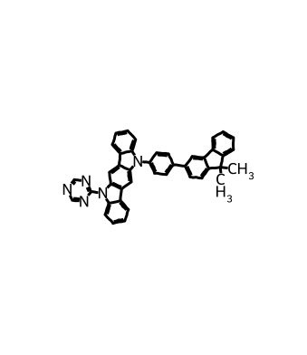 CC1(C)c2ccccc2-c2cc(-c3ccc(-n4c5ccccc5c5cc6c(cc54)c4ccccc4n6-c4ncncn4)cc3)ccc21